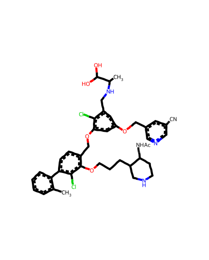 CC(=O)NC1CCNCC1CCCOc1c(COc2cc(OCc3cncc(C#N)c3)cc(CNC(C)C(O)O)c2Cl)ccc(-c2ccccc2C)c1Cl